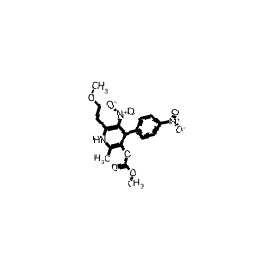 COCCC1=C([N+](=O)[O-])C(c2ccc([N+](=O)[O-])cc2)C(OC(=O)OC)=C(C)N1